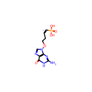 Nc1nc2c(ncn2OCC/C=C\P(=O)(O)O)c(=O)[nH]1